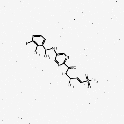 Cc1c(F)cccc1C(C)Nc1cnc(C(=O)N[C@H](C)/C=C/S(C)(=O)=O)nc1